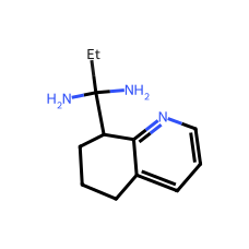 CCC(N)(N)C1CCCc2cccnc21